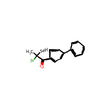 CC([SeH])(Br)C(=O)c1ccc(-c2ccccc2)cc1